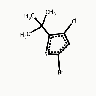 CC(C)(C)c1sc(Br)cc1Cl